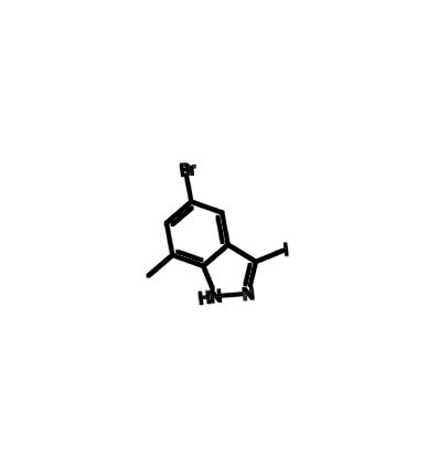 Cc1cc(Br)cc2c(I)n[nH]c12